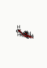 CN(C)c1ccc2cc(C(=O)N[C@@H](CCCNC(=N)CCl)C(=O)NCc3ccc(NC(=O)CCCNC(=O)CCCCC4SCC5NC(=O)NC54)cc3)ccc2c1